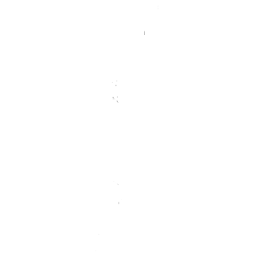 CCCCCc1ccc(C#Cc2ccc(OCCCC)cc2)nn1